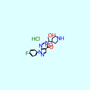 Cl.O=c1c2cnn(-c3ccc(F)cc3)c2ncn1C(CO)C1(O)CCNCC1